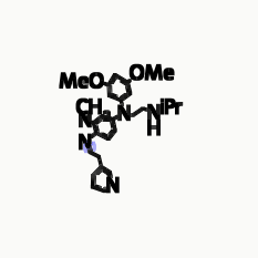 C=Nc1cc(N(CCNC(C)C)c2cc(OC)cc(OC)c2)ccc1/N=C\Cc1cccnc1